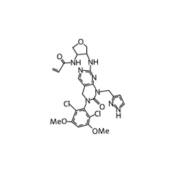 C=CC(=O)NC1COCC1Nc1ncc2c(n1)N(Cc1cc[nH]n1)C(=O)N(c1c(Cl)c(OC)cc(OC)c1Cl)C2